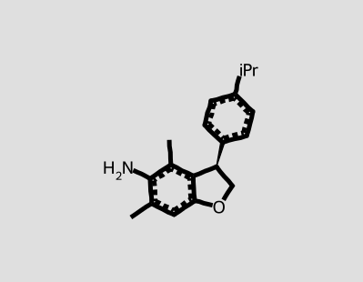 Cc1cc2c(c(C)c1N)[C@@H](c1ccc(C(C)C)cc1)CO2